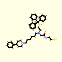 O=C(CN(CCCCCCN1CCC(c2ccccc2)CC1)CCSC(c1ccccc1)(c1ccccc1)c1ccccc1)NCCS